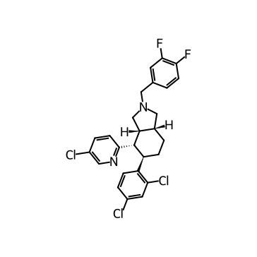 Fc1ccc(CN2C[C@@H]3CC[C@@H](c4ccc(Cl)cc4Cl)[C@H](c4ccc(Cl)cn4)[C@@H]3C2)cc1F